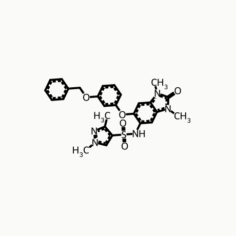 Cc1nn(C)cc1S(=O)(=O)Nc1cc2c(cc1Oc1cccc(OCc3ccccc3)c1)n(C)c(=O)n2C